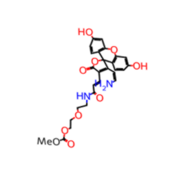 COC(=O)OCCOCCNC(=O)/C=C/C1=C(/C=C\N)C2(OC1=O)c1ccc(O)cc1Oc1cc(O)ccc12